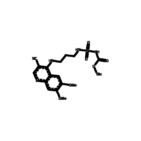 COc1cc2ncc(C#N)c(NCCCNS(=O)(=O)NC(=O)OC(C)(C)C)c2cc1OC